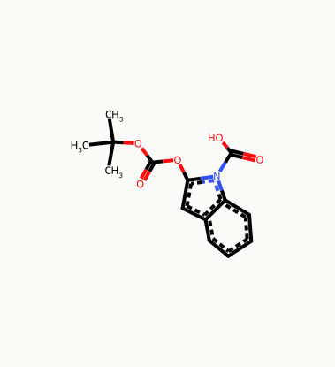 CC(C)(C)OC(=O)Oc1cc2ccccc2n1C(=O)O